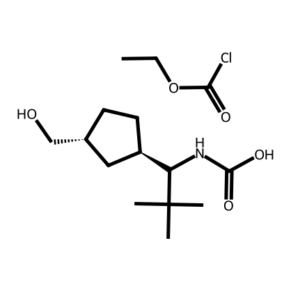 CC(C)(C)C(NC(=O)O)[C@@H]1CC[C@@H](CO)C1.CCOC(=O)Cl